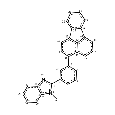 Cn1c(-c2cccc(-c3ccc4c5c(cccc35)-c3ccccc3-4)c2)nc2ccccc21